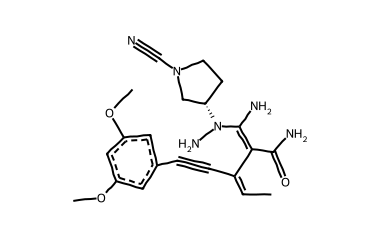 C/C=C(C#Cc1cc(OC)cc(OC)c1)\C(C(N)=O)=C(\N)N(N)[C@H]1CCN(C#N)C1